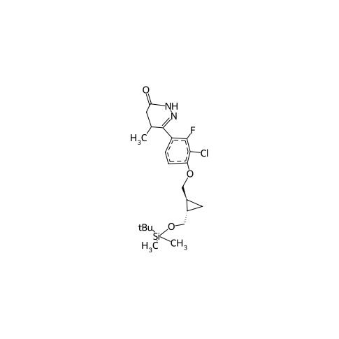 CC1CC(=O)NN=C1c1ccc(OC[C@H]2C[C@@H]2CO[Si](C)(C)C(C)(C)C)c(Cl)c1F